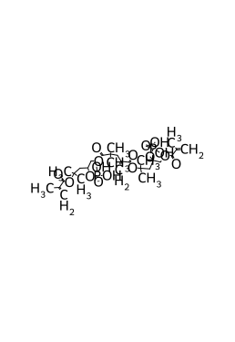 C=C(C)C(=O)OCC(CC(C)(C)OC(=O)C(=C)CC(C)(C)C(=O)OCC(CC(C)(C)OC(=O)C(=C)C)OP(=O)(O)O)OP(=O)(O)O